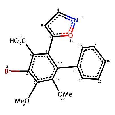 COc1c(Br)c(C(=O)O)c(-c2ccno2)c(-c2ccccc2)c1OC